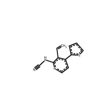 C=Cc1c(-c2cccs2)ccnc1NC#N